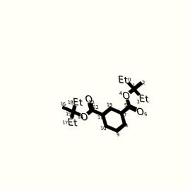 CCC(C)(CC)OC(=O)C1CCCC(C(=O)OC(C)(CC)CC)C1